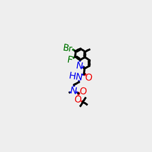 Cc1cc(Br)c(F)c2nc(C(=O)NCCN(C)C(=O)OC(C)(C)C)ccc12